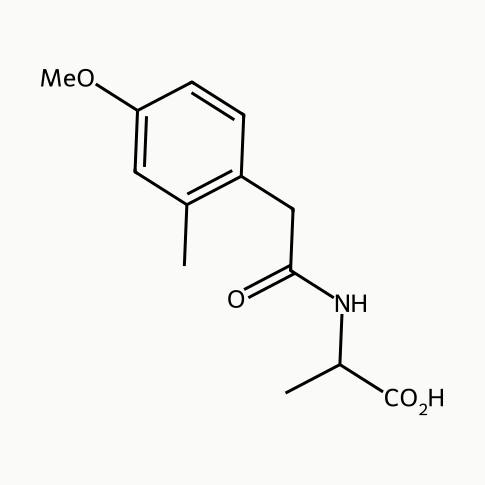 COc1ccc(CC(=O)NC(C)C(=O)O)c(C)c1